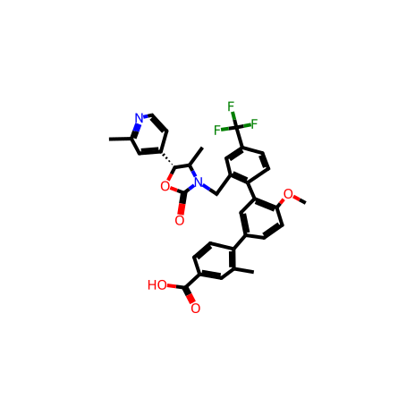 COc1ccc(-c2ccc(C(=O)O)cc2C)cc1-c1ccc(C(F)(F)F)cc1CN1C(=O)O[C@H](c2ccnc(C)c2)C1C